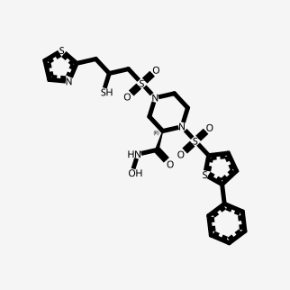 O=C(NO)[C@H]1CN(S(=O)(=O)CC(S)Cc2nccs2)CCN1S(=O)(=O)c1ccc(-c2ccccc2)s1